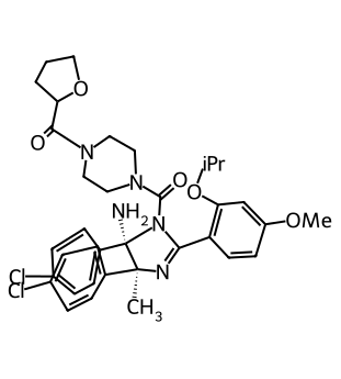 COc1ccc(C2=N[C@@](C)(c3ccc(Cl)cc3)[C@@](N)(c3ccc(Cl)cc3)N2C(=O)N2CCN(C(=O)C3CCCO3)CC2)c(OC(C)C)c1